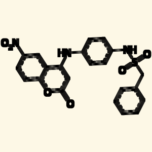 O=c1cc(Nc2ccc(NS(=O)(=O)Cc3ccccc3)cc2)c2cc([N+](=O)[O-])ccc2o1